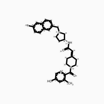 Cc1cc(O)cnc1C(=O)N1CCC(=CC(=O)N[C@@H]2CCN(Cc3ccc4cc(F)ccc4c3)C2)CC1